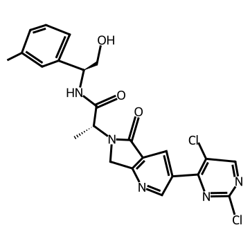 Cc1cccc([C@@H](CO)NC(=O)[C@@H](C)N2Cc3ncc(-c4nc(Cl)ncc4Cl)cc3C2=O)c1